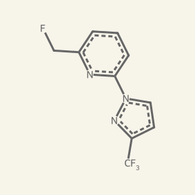 FCc1cccc(-n2ccc(C(F)(F)F)n2)n1